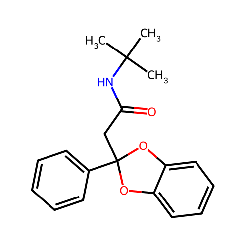 CC(C)(C)NC(=O)CC1(c2ccccc2)Oc2ccccc2O1